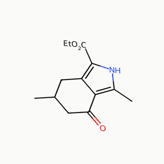 CCOC(=O)c1[nH]c(C)c2c1CC(C)CC2=O